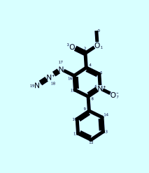 COC(=O)c1c[n+]([O-])c(-c2ccccc2)cc1N=[N+]=[N-]